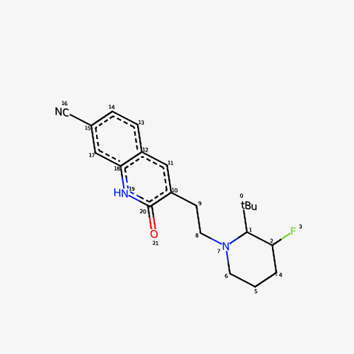 CC(C)(C)C1C(F)[CH]CCN1CCc1cc2ccc(C#N)cc2[nH]c1=O